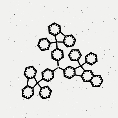 c1ccc(C2(c3ccc(N(c4ccc(C5(c6ccccc6)c6ccccc6-c6ccccc65)cc4)c4ccc5c(c4)C(c4ccccc4)(c4ccccc4)c4cc6ccccc6cc4-5)cc3)c3ccccc3-c3ccccc32)cc1